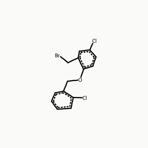 Clc1ccc(OCc2ccccc2Cl)c(CBr)c1